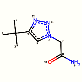 CC(C)(C)c1cn(CC(N)=O)nn1